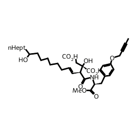 CC#CCOc1ccc(C[C@H](NC(=O)[C@@H](C=CCCCCCCC(O)CCCCCCC)[C@@](O)(CC(=O)O)C(=O)O)C(=O)OC)cc1